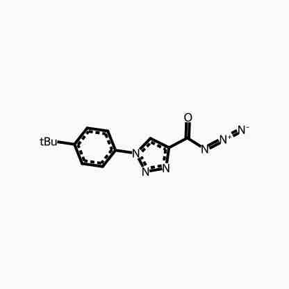 CC(C)(C)c1ccc(-n2cc(C(=O)N=[N+]=[N-])nn2)cc1